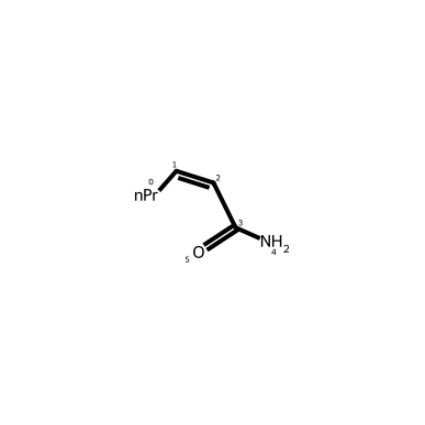 CCC/C=C\C(N)=O